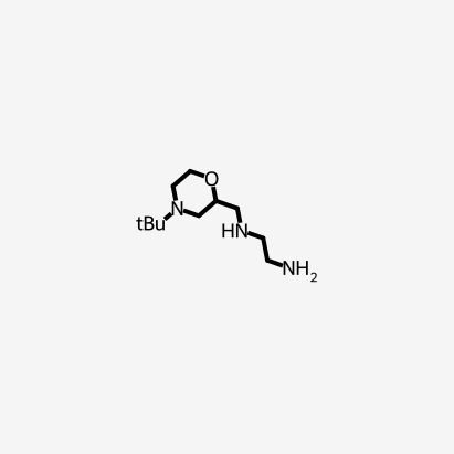 CC(C)(C)N1CCOC(CNCCN)C1